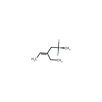 C/C=C(\CC)C[C@@](C)(F)I